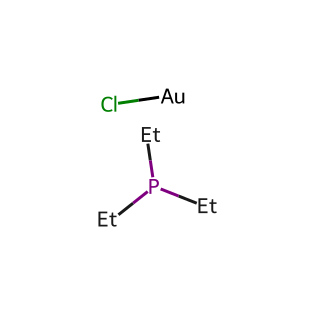 CCP(CC)CC.[Cl][Au]